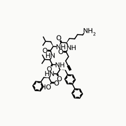 C#CCCC(=O)N[C@H](CCCCN)C(=O)N[C@H](CC(C)C)C(=O)NC(C(=O)N[C@H](Cc1ccc(-c2ccccc2)cc1)C(=O)N[C@H](Cc1ccccc1)C(=O)O)C(C)C